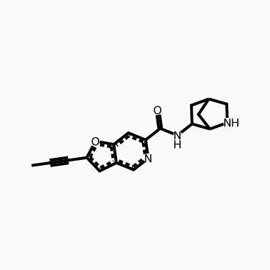 CC#Cc1cc2cnc(C(=O)NC3CC4CNC3C4)cc2o1